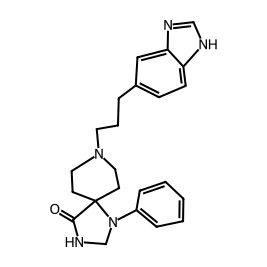 O=C1NCN(c2ccccc2)C12CCN(CCCc1ccc3[nH]cnc3c1)CC2